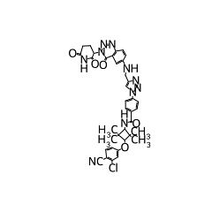 CC1(C)C(NC(=O)c2ccc(-n3cc(CNc4ccc5nnn(C6CCC(=O)NC6=O)c(=O)c5c4)nn3)cc2)C(C)(C)C1Oc1ccc(C#N)c(Cl)c1